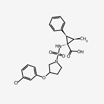 C[C@@H]1[C@H](c2ccccc2)[C@]1(NS(=O)(=O)N1CCC(Oc2cccc(Cl)c2)C1)C(=O)O